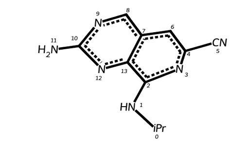 CC(C)Nc1nc(C#N)cc2cnc(N)nc12